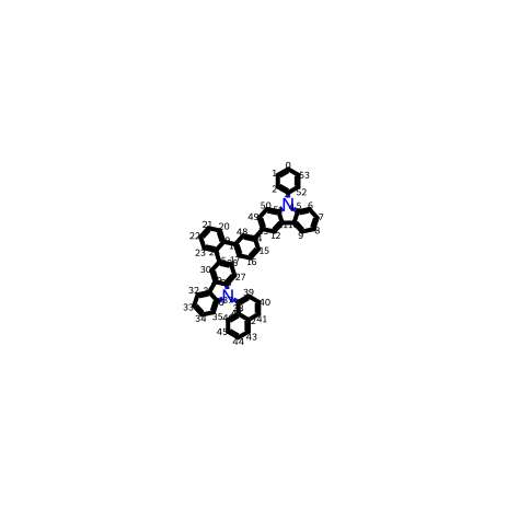 c1ccc(-n2c3ccccc3c3cc(-c4cccc(-c5ccccc5-c5ccc6c(c5)c5ccccc5n6-c5cccc6ccccc56)c4)ccc32)cc1